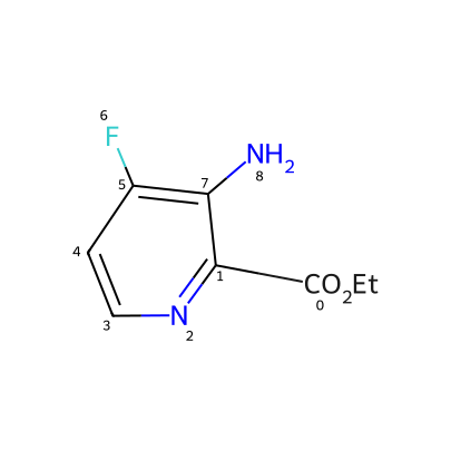 CCOC(=O)c1nccc(F)c1N